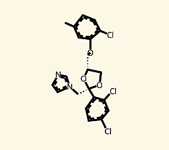 Cc1ccc(Cl)c(OC[C@@H]2CO[C@@](Cn3ccnc3)(c3ccc(Cl)cc3Cl)O2)c1